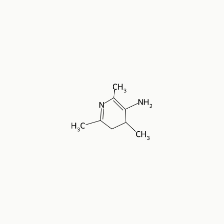 CC1=NC(C)=C(N)C(C)C1